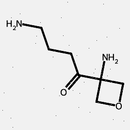 NCCCC(=O)C1(N)COC1